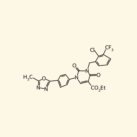 CCOC(=O)c1cn(-c2ccc(-c3nnc(C)o3)cc2)c(=O)n(Cc2cccc(C(F)(F)F)c2Cl)c1=O